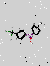 Cc1ccc([PH](=O)c2ccc(C(F)(F)F)cc2)cc1